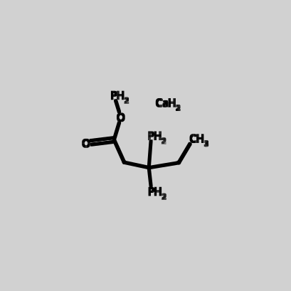 CCC(P)(P)CC(=O)OP.[CaH2]